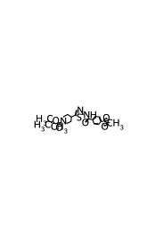 CC(C)(C)OC(=O)N1CCC(c2cnc(NC(=O)c3ccc(S(C)(=O)=O)cc3)s2)CC1